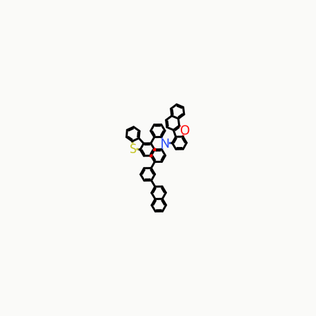 c1cc(-c2ccc(N(c3ccccc3-c3cccc4sc5ccccc5c34)c3cccc4oc5c6ccccc6ccc5c34)cc2)cc(-c2ccc3ccccc3c2)c1